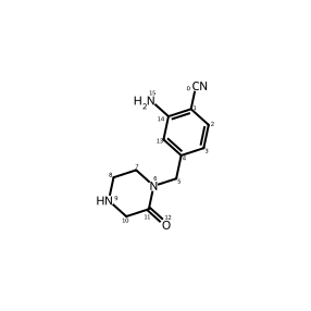 N#Cc1ccc(CN2CCNCC2=O)cc1N